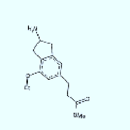 CCOc1cc(CCC(=O)OC)cc2c1CC(N)C2